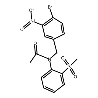 CC(=O)N(Cc1ccc(Br)c([N+](=O)[O-])c1)c1ccccc1S(C)(=O)=O